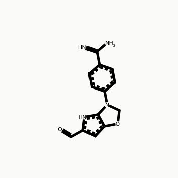 N=C(N)c1ccc(N2COc3cc(C=O)[nH]c32)cc1